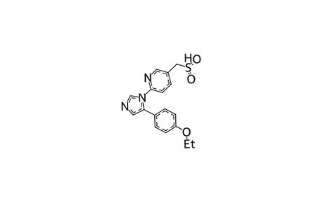 CCOc1ccc(-c2cncn2-c2ccc(C[SH](=O)=O)cn2)cc1